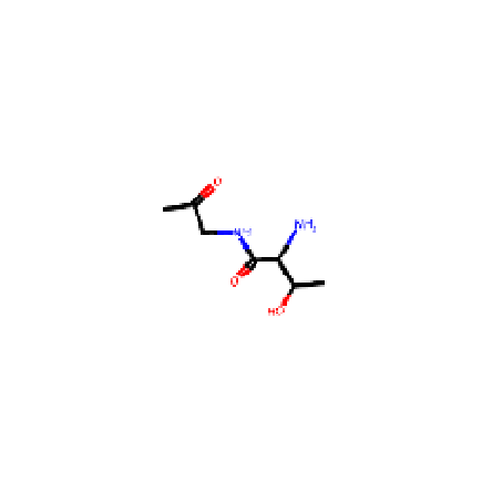 CC(=O)CNC(=O)C(N)C(C)O